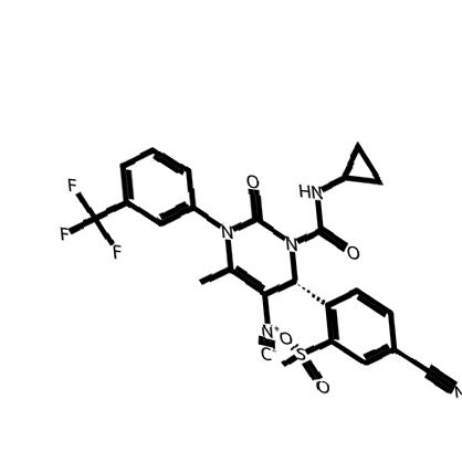 [C-]#[N+]C1=C(C)N(c2cccc(C(F)(F)F)c2)C(=O)N(C(=O)NC2CC2)[C@@H]1c1ccc(C#N)cc1S(C)(=O)=O